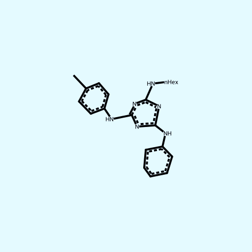 CCCCCCNc1nc(Nc2ccccc2)nc(Nc2ccc(C)cc2)n1